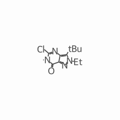 CCn1nc2c(c1C(C)(C)C)N=C(Cl)[N]C2=O